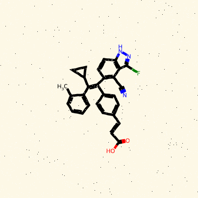 Cc1ccccc1/C(=C(\c1ccc(/C=C/C(=O)O)cc1)c1ccc2[nH]nc(F)c2c1C#N)C1CC1